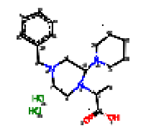 CC(C(=O)O)N1CCN(Cc2ccccc2)CC1N1CCCCC1.Cl.Cl